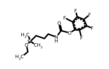 CCO[Si](C)(C)CCCNC(=O)Oc1c(F)c(F)c(F)c(F)c1F